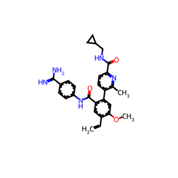 C=Cc1cc(C(=O)Nc2ccc(C(=N)N)cc2)c(-c2ccc(C(=O)NCC3CC3)nc2C)cc1OC